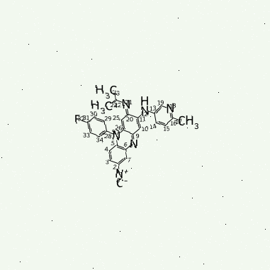 [C-]#[N+]c1ccc2c(c1)nc1cc(Nc3ccc(C)nc3)/c(=N/C(C)C)cc-1n2-c1ccc(F)cc1